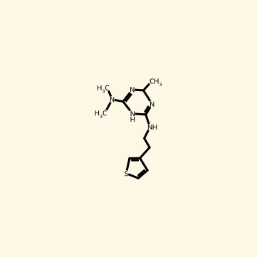 CC1N=C(NCCc2ccsc2)NC(N(C)C)=N1